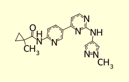 Cn1cc(Nc2nccc(-c3ccc(NC(=O)C4(C)CC4)nc3)n2)cn1